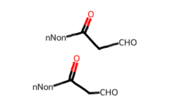 CCCCCCCCCC(=O)CC=O.CCCCCCCCCC(=O)CC=O